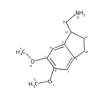 COc1cc2c(cc1OC)C(CN)CC2